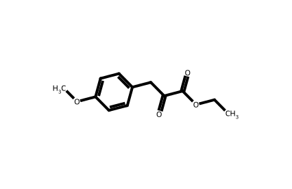 CCOC(=O)C(=O)Cc1ccc(OC)cc1